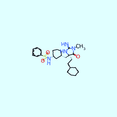 CN1C(=N)N[C@](CCC2CCCCC2)(C[C@H]2CCC[C@@H](NS(=O)(=O)c3ccccc3)C2)C1=O